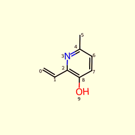 C=Cc1nc(C)ccc1O